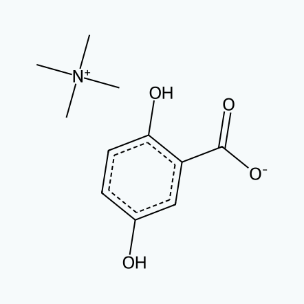 C[N+](C)(C)C.O=C([O-])c1cc(O)ccc1O